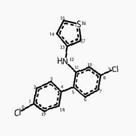 Clc1ccc(-c2ccc(Cl)cc2Nc2ccsc2)cc1